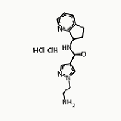 Cl.Cl.NCCn1cc(C(=O)NC2CCc3cccnc32)cn1